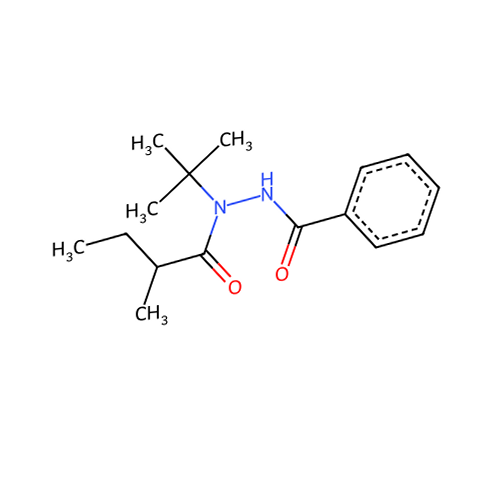 CCC(C)C(=O)N(NC(=O)c1ccccc1)C(C)(C)C